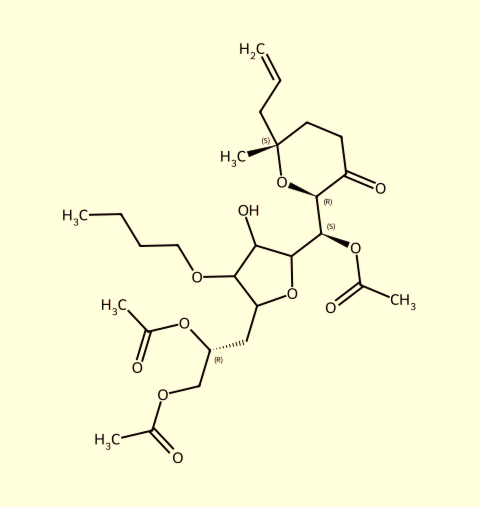 C=CC[C@]1(C)CCC(=O)[C@@H]([C@@H](OC(C)=O)C2OC(C[C@H](COC(C)=O)OC(C)=O)C(OCCCC)C2O)O1